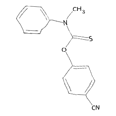 CN(C(=S)Oc1ccc(C#N)cc1)c1ccccc1